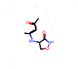 CC(=O)C=C(C)NC1CONC1=O